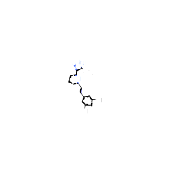 N#Cc1[nH]nnc1-c1cccc(/C=C/c2cc(C(F)(F)F)cc(C(F)(F)F)c2)n1